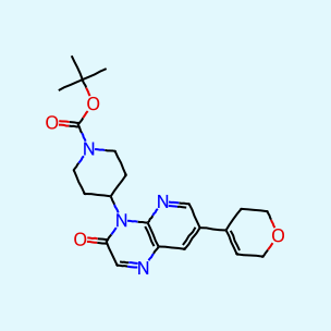 CC(C)(C)OC(=O)N1CCC(n2c(=O)cnc3cc(C4=CCOCC4)cnc32)CC1